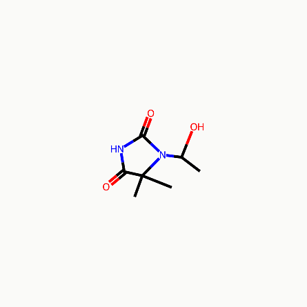 CC(O)N1C(=O)NC(=O)C1(C)C